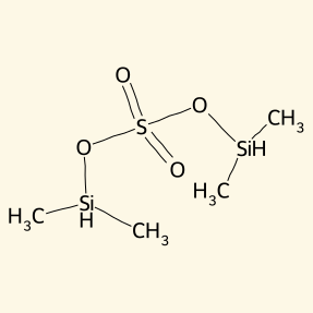 C[SiH](C)OS(=O)(=O)O[SiH](C)C